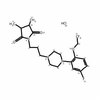 CC1C(=O)N(CCCN2CCN(c3cc(F)ccc3OCC(F)(F)F)CC2)C(=O)C1C.Cl